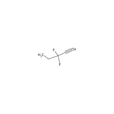 C#CC(F)(F)CC